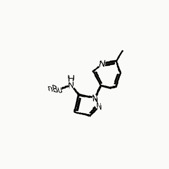 CCCCNc1ccnn1-c1ccc(C)nc1